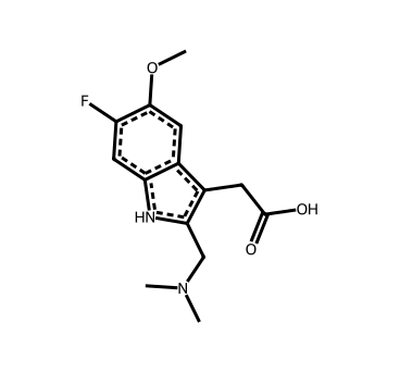 COc1cc2c(CC(=O)O)c(CN(C)C)[nH]c2cc1F